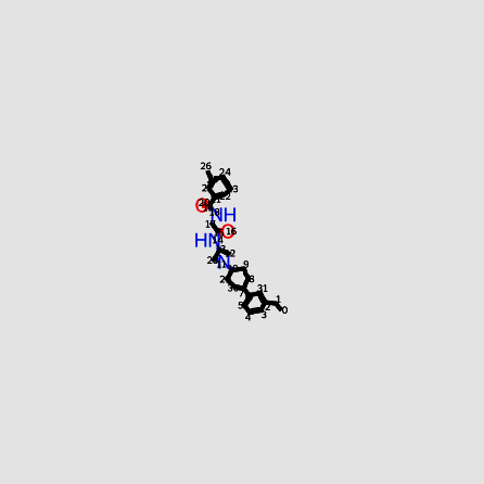 CCc1cccc(C2CCC(N3CC(NC(=O)CNC(=O)c4cccc(C)c4)C3)CC2)c1